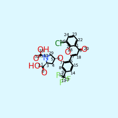 O=C(O)[C@@H]1C[C@@H](Oc2cc(C(F)(F)F)ccc2-c2cc(=O)c3cccc(Cl)c3o2)CN1C(=O)O